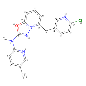 CN(c1ccc(C(F)(F)F)cn1)c1n[n+]2c(Cc3ccc(Cl)nc3)cccc2o1